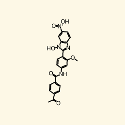 COc1cc(NC(=O)c2ccc(C(C)=O)cc2)ccc1-c1nc2ccc([N+](=O)O)cc2n1O